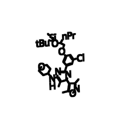 CCCC(COc1cc(Cl)cc(-c2nc(NC3CCOCC3)c(C)c(-c3c(C)noc3C)n2)c1)O[Si](C)(C)C(C)(C)C